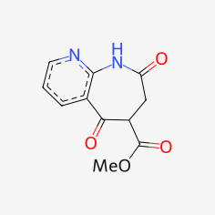 COC(=O)C1CC(=O)Nc2ncccc2C1=O